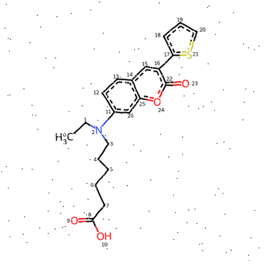 CCN(CCCCCC(=O)O)c1ccc2cc(-c3cccs3)c(=O)oc2c1